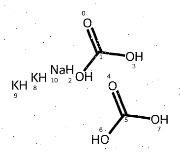 O=C(O)O.O=C(O)O.[KH].[KH].[NaH]